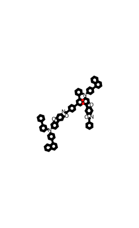 c1ccc(-c2cccc(N(c3ccc(-c4cccc5ccccc45)cc3)c3ccc4c(c3)oc3cc5nc(-c6ccc(-c7cccc(-c8ccccc8N(c8ccc(-c9cccc%10ccccc9%10)cc8)c8ccc9c(c8)oc8cc%10nc(-c%11ccccc%11)oc%10cc89)c7)cc6)oc5cc34)c2)cc1